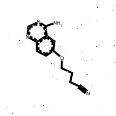 N#CCCCOc1ccc2ncnc(N)c2c1